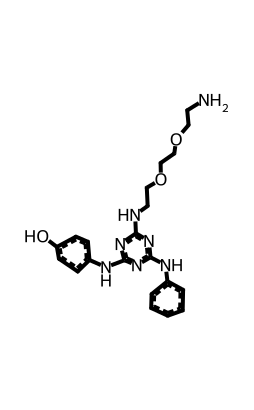 NCCOCCOCCNc1nc(Nc2ccccc2)nc(Nc2ccc(O)cc2)n1